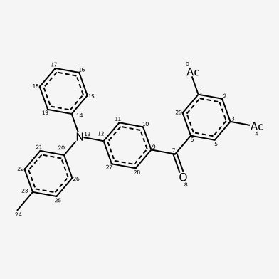 CC(=O)c1cc(C(C)=O)cc(C(=O)c2ccc(N(c3ccccc3)c3ccc(C)cc3)cc2)c1